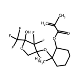 C=C(C)C(=O)OC1CCCCC1(C)OC1(C)COC(O)(C(F)(F)F)C1(F)F